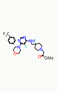 COC(=O)CN1CCC(F)(CNc2ncnc(N3CCOC[C@@H]3c3ccc(C(F)(F)F)cc3)c2F)CC1